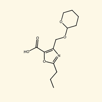 CCCc1nc(COC2CCCCO2)c(C(=O)O)o1